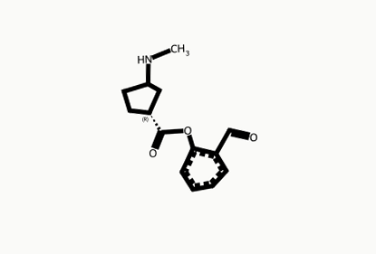 CNC1CC[C@@H](C(=O)Oc2ccccc2C=O)C1